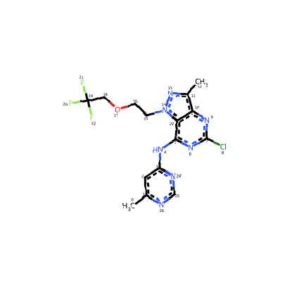 Cc1cc(Nc2nc(Cl)nc3c(C)nn(CCOCC(F)(F)F)c23)ncn1